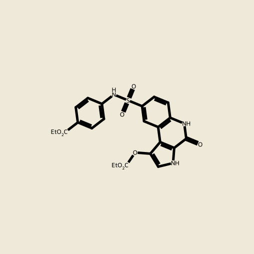 CCOC(=O)Oc1c[nH]c2c(=O)[nH]c3ccc(S(=O)(=O)Nc4ccc(C(=O)OCC)cc4)cc3c12